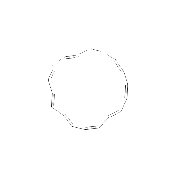 C1=C\C=C\C=C/C=C/C=C/C=N\N=N\OO\C=C/1